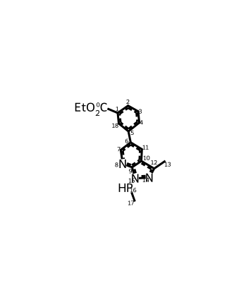 CCOC(=O)c1cccc(-c2cnc3c(c2)c(C)nn3PC)c1